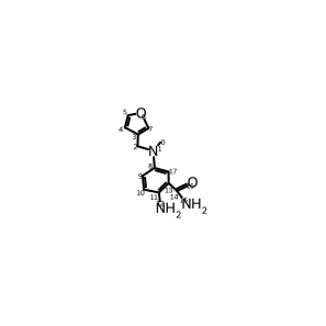 CN(Cc1ccoc1)c1ccc(N)c(C(N)=O)c1